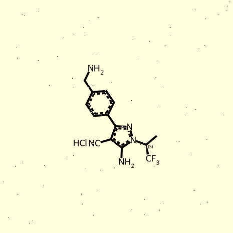 C[C@H](n1nc(-c2ccc(CN)cc2)c(C#N)c1N)C(F)(F)F.Cl